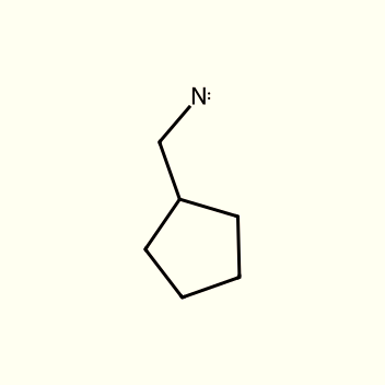 [N]CC1CCCC1